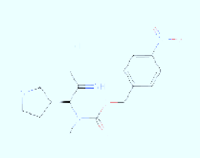 CC(=N)C([C@H]1CCNC1)N(C)C(=O)OCc1ccc([N+](=O)[O-])cc1.Cl